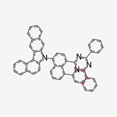 c1ccc(-c2nc(-c3ccccc3)nc(-c3ccc(-n4c5cc6ccccc6cc5c5c6ccccc6ccc54)c4cccc(-c5ccccc5)c34)n2)cc1